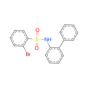 O=S(=O)(Nc1ccccc1-c1ccccc1)c1ccccc1Br